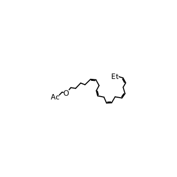 CC/C=C\C/C=C\C/C=C\C/C=C\C/C=C\CCCCOCC(C)=O